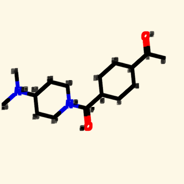 CC(=O)C1CCC(C(=O)N2CCC(N(C)C)CC2)CC1